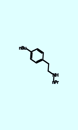 CCCCc1ccc(CCNCCC)cc1